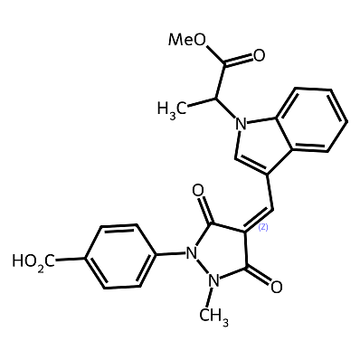 COC(=O)C(C)n1cc(/C=C2/C(=O)N(C)N(c3ccc(C(=O)O)cc3)C2=O)c2ccccc21